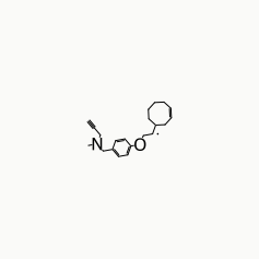 C#CCN(C)Cc1ccc(OC[CH]C2CC=CCCCC2)cc1